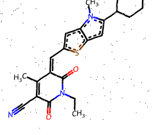 CCN1C(=O)C(C#N)=C(C)/C(=C/c2cc3c(cc(C4CCCCC4)n3C)s2)C1=O